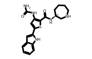 NC(=O)Nc1cc(-c2cc3ccccc3[nH]2)sc1C(=O)N[C@H]1CCCCNC1